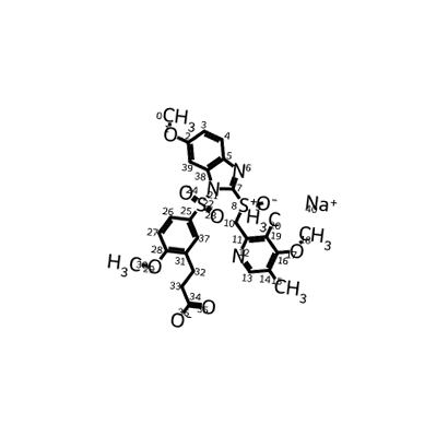 COc1ccc2nc([S+]([O-])Cc3ncc(C)c(OC)c3C)n(S(=O)(=O)c3ccc(OC)c(CCC(=O)[O-])c3)c2c1.[Na+]